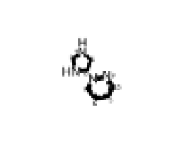 C1CNCN1.c1ccnnc1